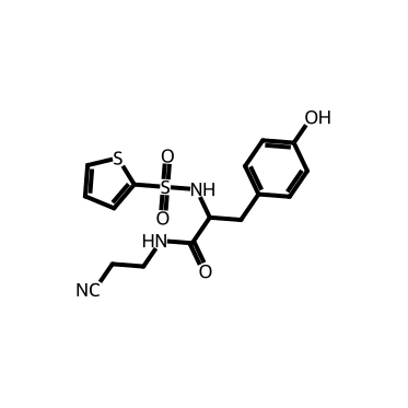 N#CCCNC(=O)C(Cc1ccc(O)cc1)NS(=O)(=O)c1cccs1